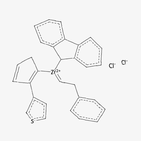 C1=CC(c2ccsc2)=[C](/[Zr+2](=[CH]/Cc2ccccc2)[CH]2c3ccccc3-c3ccccc32)C1.[Cl-].[Cl-]